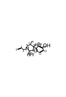 C=CCN1CC(C)C(CCC)(c2cccc(O)c2)CC1CCC